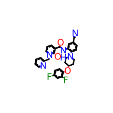 N#Cc1ccc(N2CCC(Oc3ccc(F)cc3F)CC2)c(NC(=O)c2cccn(Cc3ccccn3)c2=O)c1